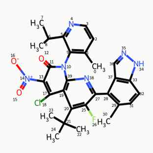 Cc1ccnc(C(C)C)c1-n1c(=O)c([N+](=O)[O-])c(Cl)c2c(C(C)(C)C)c(F)c(-c3c(C)ccc4[nH]ncc34)nc21